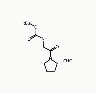 CC(C)(C)OC(=O)NCC(=O)N1CCC[C@H]1C=O